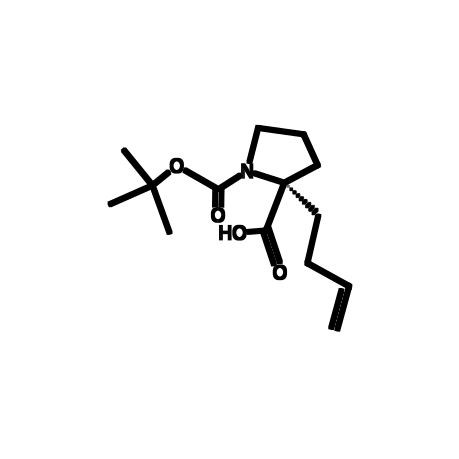 C=CCC[C@@]1(C(=O)O)CCCN1C(=O)OC(C)(C)C